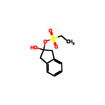 CCS(=O)(=O)OC1(O)Cc2ccccc2C1